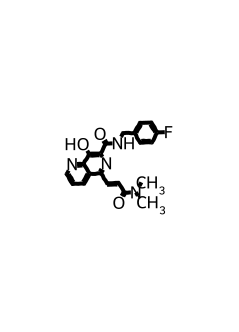 CN(C)C(=O)C=Cc1nc(C(=O)NCc2ccc(F)cc2)c(O)c2ncccc12